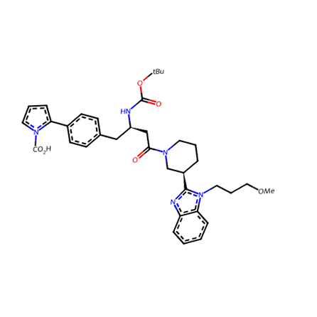 COCCCn1c([C@@H]2CCCN(C(=O)C[C@@H](Cc3ccc(-c4cccn4C(=O)O)cc3)NC(=O)OC(C)(C)C)C2)nc2ccccc21